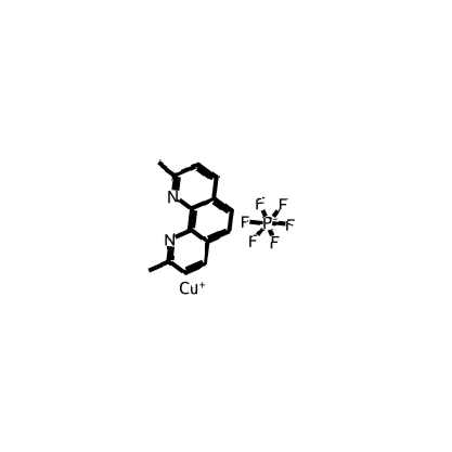 Cc1ccc2ccc3ccc(C)nc3c2n1.F[P-](F)(F)(F)(F)F.[Cu+]